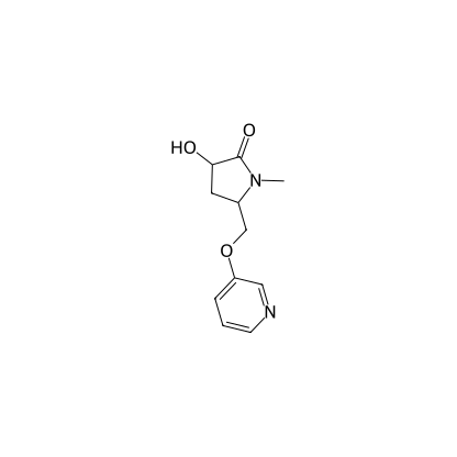 CN1C(=O)C(O)CC1COc1cccnc1